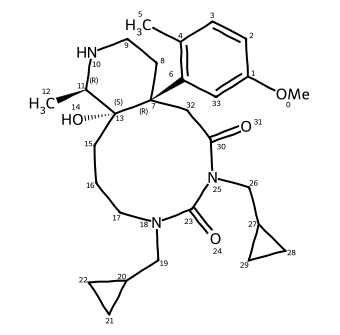 COc1ccc(C)c([C@]23CCN[C@H](C)[C@]2(O)CCCN(CC2CC2)C(=O)N(CC2CC2)C(=O)C3)c1